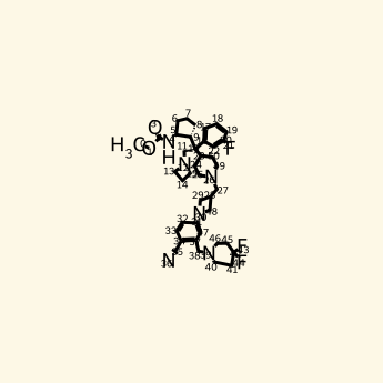 COC(=O)N[C@H]1CCC[C@@H]1[C@](CN1CCC1)(c1cccc(F)c1)C1CCN(CC2CN(c3ccc(C#N)c(CN4CCC(F)(F)CC4)c3)C2)CC1